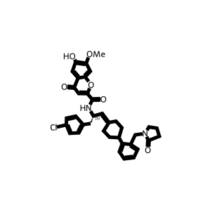 COc1cc2oc(C(=O)N[C@H](C=C3CCC(c4ccccc4CN4CCCC4=O)CC3)Cc3ccc(Cl)cc3)cc(=O)c2cc1O